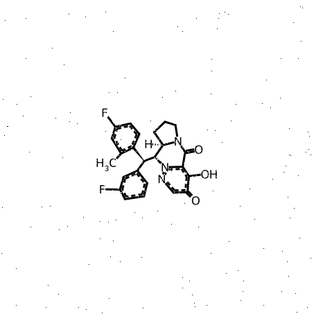 Cc1cc(F)ccc1[C@H](c1cccc(F)c1)[C@H]1[C@H]2CCCN2C(=O)c2c(O)c(=O)cnn21